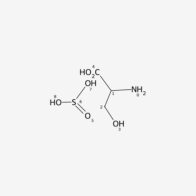 NC(CO)C(=O)O.O=S(O)O